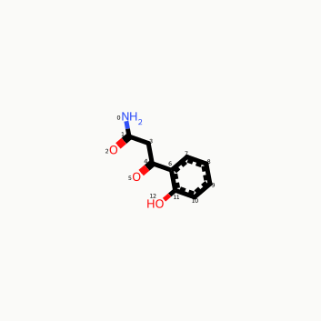 NC(=O)CC(=O)c1ccccc1O